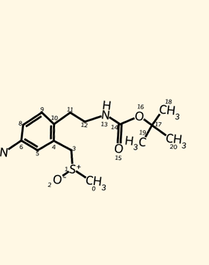 C[S+]([O-])Cc1cc(N)ccc1CCNC(=O)OC(C)(C)C